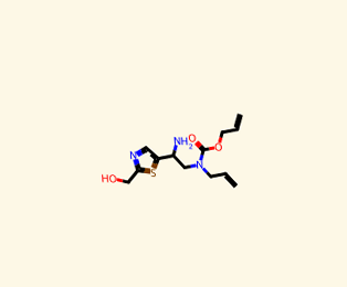 C=CCOC(=O)N(CC=C)CC(N)c1cnc(CO)s1